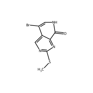 CSc1ncc2c(Br)c[nH]c(=O)c2n1